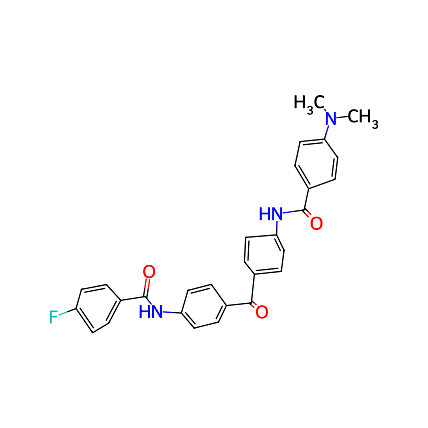 CN(C)c1ccc(C(=O)Nc2ccc(C(=O)c3ccc(NC(=O)c4ccc(F)cc4)cc3)cc2)cc1